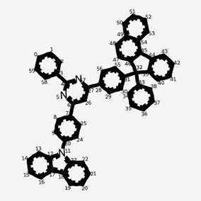 c1ccc(-c2nc(-c3ccc(-n4c5ccccc5c5ccccc54)cc3)cc(-c3ccc(C4(c5ccccc5)c5ccccc5-c5c4ccc4ccccc54)cc3)n2)cc1